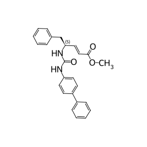 COC(=O)C=C[C@H](Cc1ccccc1)NC(=O)Nc1ccc(-c2ccccc2)cc1